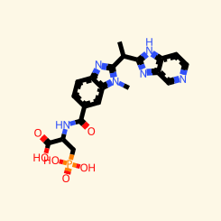 CC(c1nc2cnccc2[nH]1)c1nc2ccc(C(=O)NC(CP(=O)(O)O)C(=O)O)cc2n1C